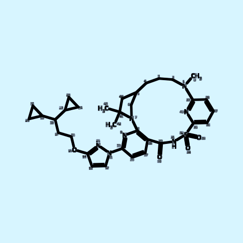 CN1CCCC2CN(c3nc(-n4ccc(OCCC(C5CC5)C5CC5)n4)ccc3C(=O)NS(=O)(=O)c3cccc1n3)C(C)(C)C2